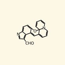 O=CC1=c2c(ccc3c2=CC2=CC=CN4C=CC=CC24O3)N=C1